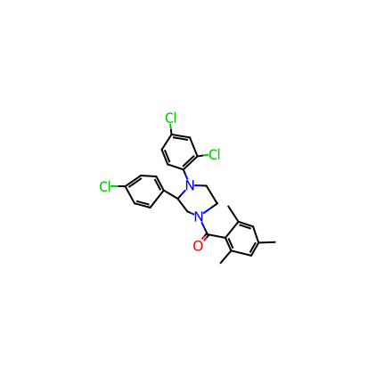 Cc1cc(C)c(C(=O)N2CCN(c3ccc(Cl)cc3Cl)C(c3ccc(Cl)cc3)C2)c(C)c1